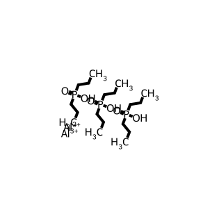 CCCP(=O)(O)CCC.CCCP(=O)(O)CCC.CCCP(=O)(O)CCC.[Al+3].[Al+3]